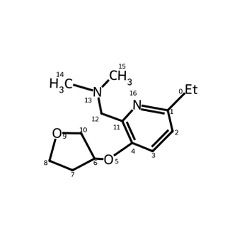 CCc1ccc(OC2CCOC2)c(CN(C)C)n1